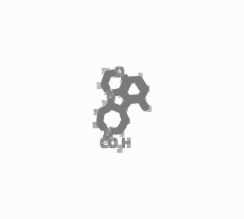 Cc1ccc2c3c1C1CCN(C(=O)O)CCC1N3CCO2